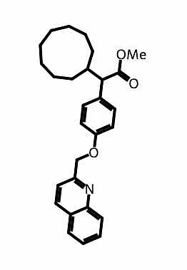 COC(=O)C(c1ccc(OCc2ccc3ccccc3n2)cc1)C1CCCCCCCC1